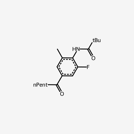 CCCCCC(=O)c1cc(C)c(NC(=O)C(C)(C)C)c(F)c1